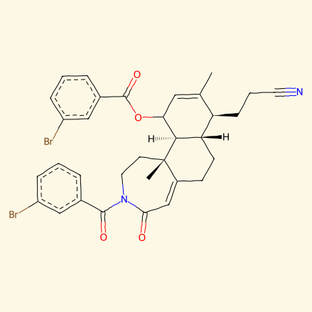 CC1=CC(OC(=O)c2cccc(Br)c2)[C@H]2[C@@H](CCC3=CC(=O)N(C(=O)c4cccc(Br)c4)CC[C@@]32C)[C@@H]1CCC#N